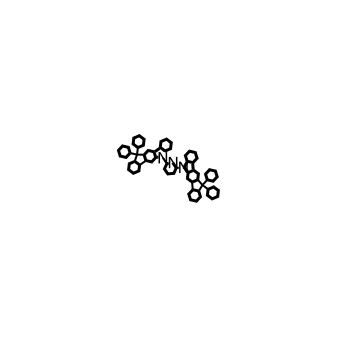 c1ccc(C2(c3ccccc3)c3ccccc3-c3cc4c(cc32)c2ccccc2n4-c2cccc(-n3c4ccccc4c4cc5c(cc43)-c3ccccc3C5(c3ccccc3)c3ccccc3)n2)cc1